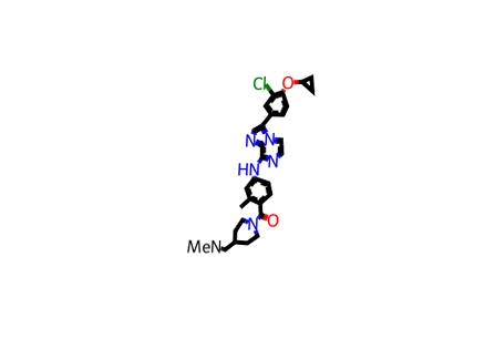 CNCC1CCN(C(=O)c2ccc(Nc3nccn4c(-c5ccc(OC6CC6)c(Cl)c5)cnc34)cc2C)CC1